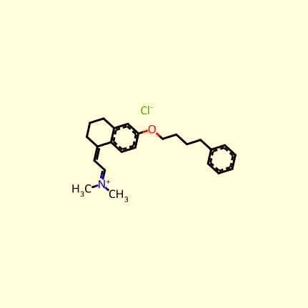 C[N+](C)=C/C=C1/CCCc2cc(OCCCCc3ccccc3)ccc21.[Cl-]